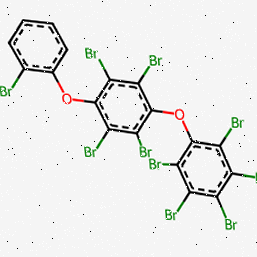 Brc1ccccc1Oc1c(Br)c(Br)c(Oc2c(Br)c(Br)c(Br)c(Br)c2Br)c(Br)c1Br